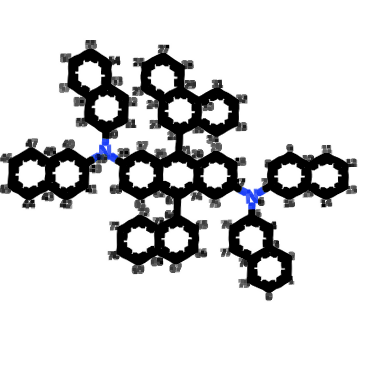 c1ccc2cc(N(c3ccc4ccccc4c3)c3ccc4c(-c5cc6ccccc6c6ccccc56)c5cc(N(c6ccc7ccccc7c6)c6ccc7ccccc7c6)ccc5c(-c5cccc6ccccc56)c4c3)ccc2c1